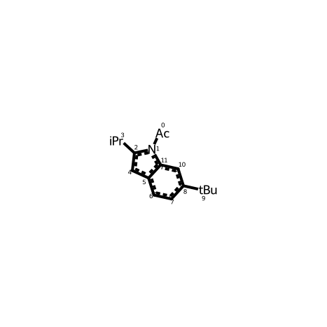 CC(=O)n1c(C(C)C)cc2ccc(C(C)(C)C)cc21